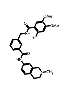 COc1cc(Br)c(C(=O)NCc2cccc(C(=O)Nc3ccc4c(c3)CN(C)CC4)c2)cc1OC